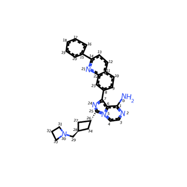 Nc1nccn2c1c(-c1ccc3ccc(-c4ccccc4)nc3c1)nc2[C@H]1C[C@H](CN2CCC2)C1